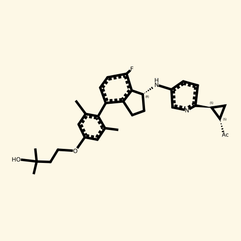 CC(=O)[C@H]1C[C@@H]1c1ccc(N[C@@H]2CCc3c(-c4c(C)cc(OCCC(C)(C)O)cc4C)ccc(F)c32)cn1